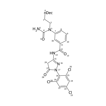 CCCCCCCCCCCCN(C(N)=O)c1cccc(C(=O)NC2=NN(c3c(Cl)cc(Cl)cc3Cl)C(=O)C2)c1